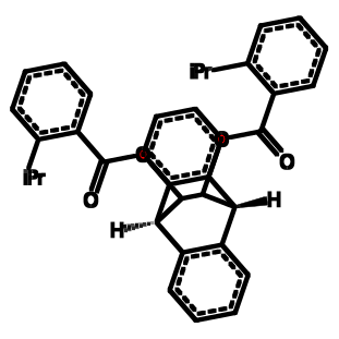 CC(C)c1ccccc1C(=O)OC1C(OC(=O)c2ccccc2C(C)C)[C@H]2c3ccccc3[C@H]1c1ccccc12